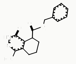 Cc1n[nH]c(=O)c2c1CCCC2C(=O)OCc1ccccc1